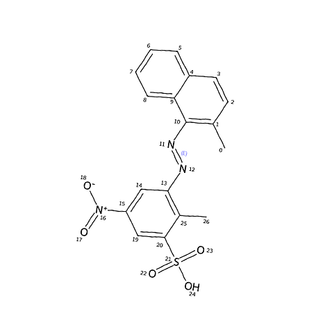 Cc1ccc2ccccc2c1/N=N/c1cc([N+](=O)[O-])cc(S(=O)(=O)O)c1C